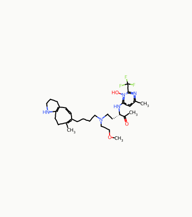 COCCN(CCCCC1=C(\C)CCC2=C(/C=C\1)CCCN2)CC[C@H](Nc1cc(C)nc(C(F)(F)F)[n+]1O)C(C)=O